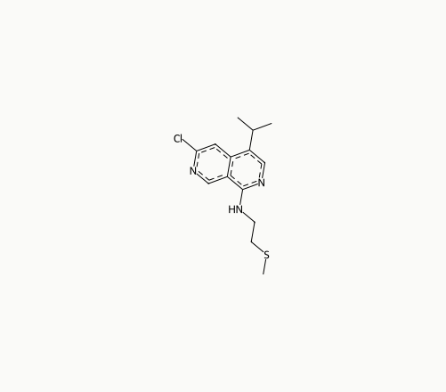 CSCCNc1ncc(C(C)C)c2cc(Cl)ncc12